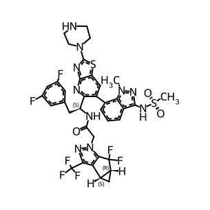 Cn1nc(NS(C)(=O)=O)c2cccc(-c3cc4sc(N5CCNCC5)nc4nc3[C@H](Cc3cc(F)cc(F)c3)NC(=O)Cn3nc(C(F)(F)F)c4c3C(F)(F)[C@@H]3C[C@H]43)c21